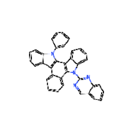 c1ccc(-n2c3ccccc3c3c4ccccc4c4c(c5ccccc5n4-c4ncc5ccccc5n4)c32)cc1